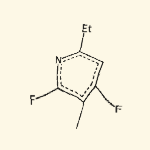 CCc1cc(F)c(C)c(F)n1